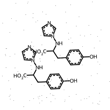 O=C(O)C(Cc1ccc(O)cc1)Nn1ccnc1.O=C(O)C(Cc1ccc(O)cc1)Nn1ccnc1